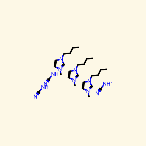 CCCCn1cc[n+](C)c1.CCCCn1cc[n+](C)c1.CCCCn1cc[n+](C)c1.N#C[NH-].N#C[NH-].N#C[NH-]